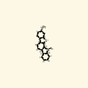 CC(C)c1ccc2c(c1)sc1c2ccc2c3ccccc3n(C)c21